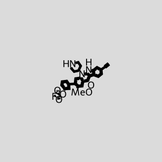 C#Cc1ccc2c(c1)[nH]c1c2c(=O)c2cc(OC)c(-c3cccc(OS(=O)(=O)F)c3)cc2n1C1CCNCC1